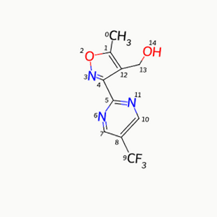 Cc1onc(-c2ncc(C(F)(F)F)cn2)c1CO